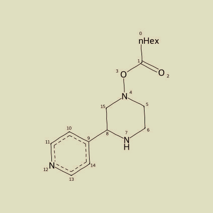 CCCCCCC(=O)ON1CCNC(c2ccncc2)C1